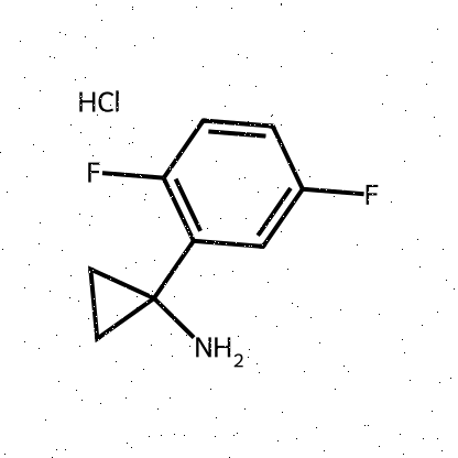 Cl.NC1(c2cc(F)ccc2F)CC1